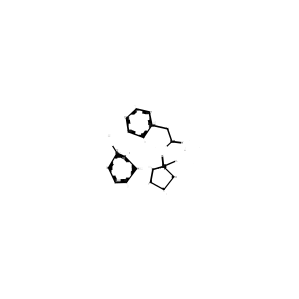 CC(Cc1ccccc1)OC1(C)CCCC1.Oc1ccccc1